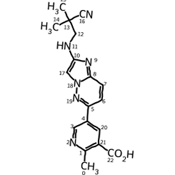 Cc1ncc(-c2ccc3nc(NCC(C)(C)C#N)cn3n2)cc1C(=O)O